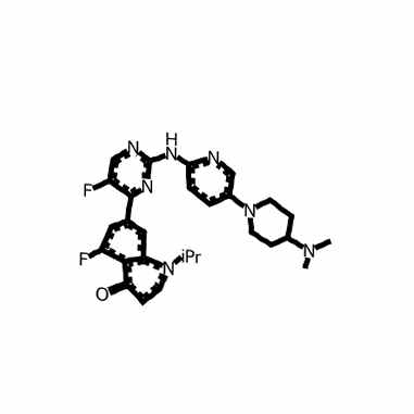 CC(C)n1ccc(=O)c2c(F)cc(-c3nc(Nc4ccc(N5CCC(N(C)C)CC5)cn4)ncc3F)cc21